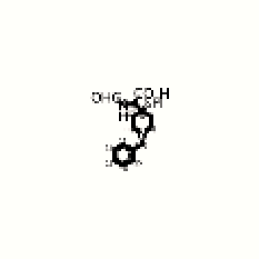 O=CNC(C(=O)O)C1(S)CCN(Cc2ccccc2)CC1